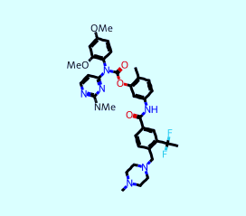 CNc1nccc(N(C(=O)Oc2cc(NC(=O)c3ccc(CN4CCN(C)CC4)c(C(C)(F)F)c3)ccc2C)c2ccc(OC)cc2OC)n1